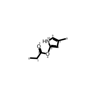 CCC(=O)Oc1cc(C)c[nH]1